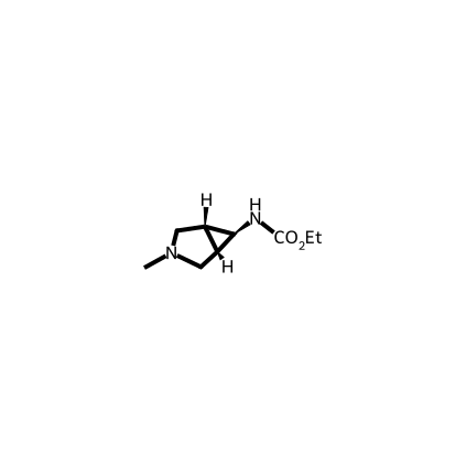 CCOC(=O)N[C@H]1[C@@H]2CN(C)C[C@@H]21